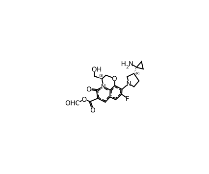 NC1([C@@H]2CCN(c3c(F)cc4cc(C(=O)OC=O)c(=O)n5c4c3OC[C@@H]5CO)C2)CC1